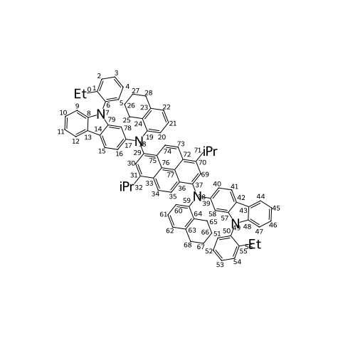 CCc1ccccc1-n1c2ccccc2c2ccc(N(c3cccc4c3CCCC4)c3cc(C(C)C)c4ccc5c(N(c6ccc7c8ccccc8n(-c8ccccc8CC)c7c6)c6cccc7c6CCCC7)cc(C(C)C)c6ccc3c4c65)cc21